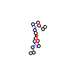 Cc1cccc(-c2ccccc2)c1N(c1cccc(-c2cccc3ccccc23)c1)c1ccc2cc3c(cc2c1)oc1cc2cc(N(c4cccc(-c5cccc6ccccc56)c4)c4c(C)cccc4-c4ccccc4)ccc2cc13